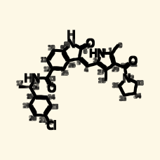 Cc1[nH]c(/C=C2\C(=O)Nc3ccc(C(=O)N[C@H](C)c4ccc(Cl)cc4)cc32)c(C)c1C(=O)N1CCCC1